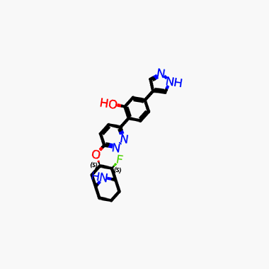 Oc1cc(-c2cn[nH]c2)ccc1-c1ccc(O[C@H]2CC3CCCC(N3)[C@@H]2F)nn1